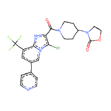 O=C(c1nc2c(C(F)(F)F)cc(-c3ccncc3)cn2c1Cl)N1CCC(N2CCOC2=O)CC1